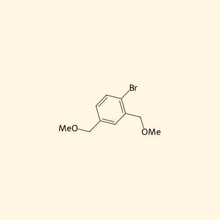 COCc1ccc(Br)c(COC)c1